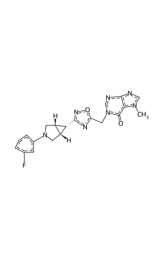 Cn1cnc2ncn(Cc3nc([C@@H]4[C@@H]5CN(c6cccc(F)c6)C[C@@H]54)no3)c(=O)c21